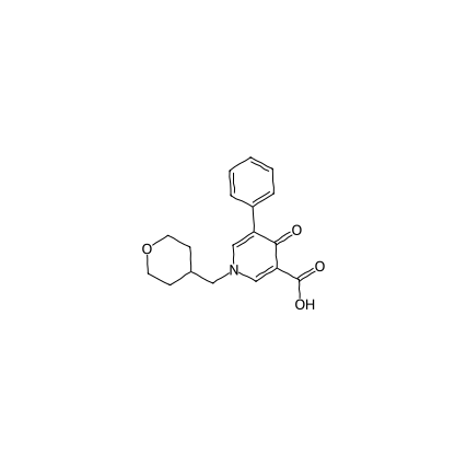 O=C(O)c1cn(CC2CCOCC2)cc(-c2ccccc2)c1=O